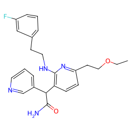 CCOCCc1ccc(C(C(N)=O)c2cccnc2)c(NCCc2cccc(F)c2)n1